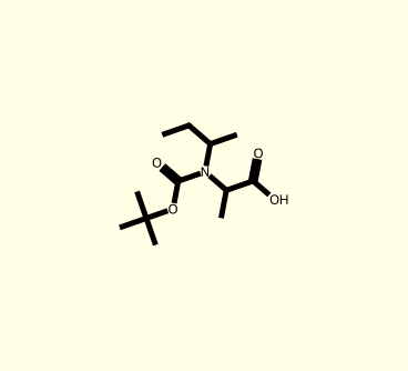 CCC(C)N(C(=O)OC(C)(C)C)C(C)C(=O)O